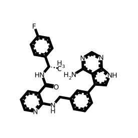 C[C@H](NC(=O)c1cccnc1NCc1cccc(-c2c[nH]c3ncnc(N)c23)c1)c1ccc(F)cc1